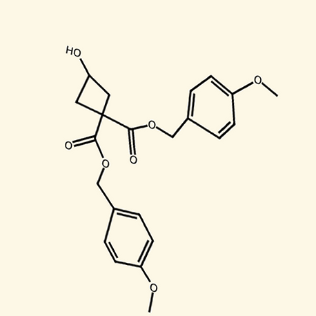 COc1ccc(COC(=O)C2(C(=O)OCc3ccc(OC)cc3)CC(O)C2)cc1